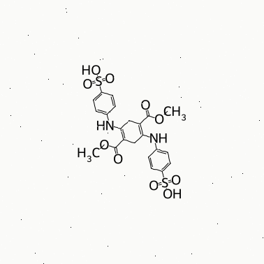 COC(=O)C1=C(Nc2ccc(S(=O)(=O)O)cc2)CC(C(=O)OC)=C(Nc2ccc(S(=O)(=O)O)cc2)C1